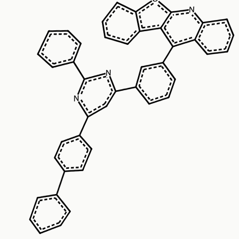 c1ccc(-c2ccc(-c3cc(-c4cccc(-c5c6ccccc6nc6oc7ccccc7c56)c4)nc(-c4ccccc4)n3)cc2)cc1